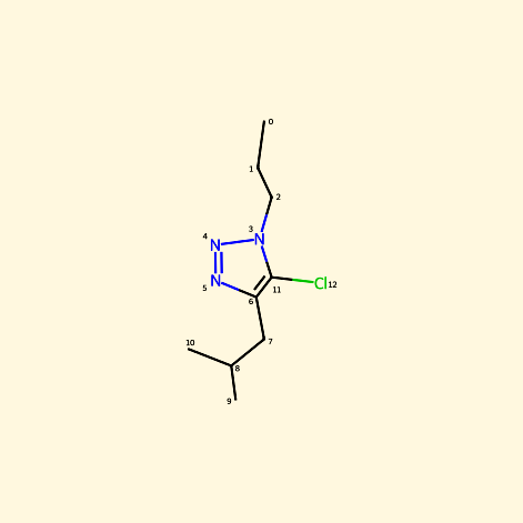 CCCn1nnc(CC(C)C)c1Cl